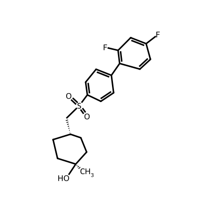 C[C@]1(O)CC[C@H](CS(=O)(=O)c2ccc(-c3ccc(F)cc3F)cc2)CC1